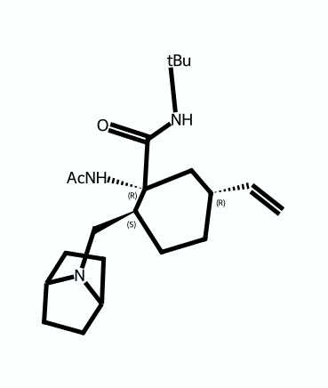 C=C[C@@H]1CC[C@@H](CN2C3CCC2CC3)[C@@](NC(C)=O)(C(=O)NC(C)(C)C)C1